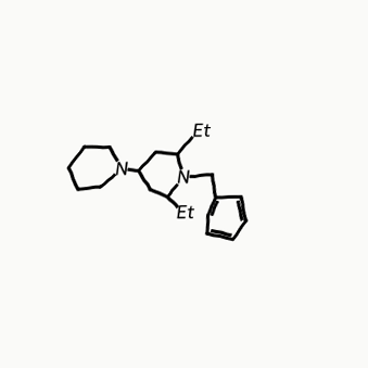 CCC1CC(N2CCCCC2)CC(CC)N1Cc1ccccc1